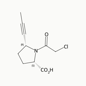 CC#C[C@H]1CC[C@@H](C(=O)O)N1C(=O)CCl